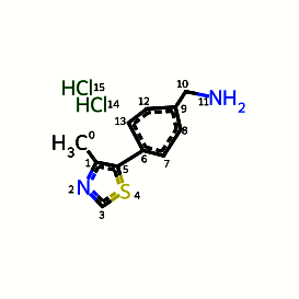 Cc1ncsc1-c1ccc(CN)cc1.Cl.Cl